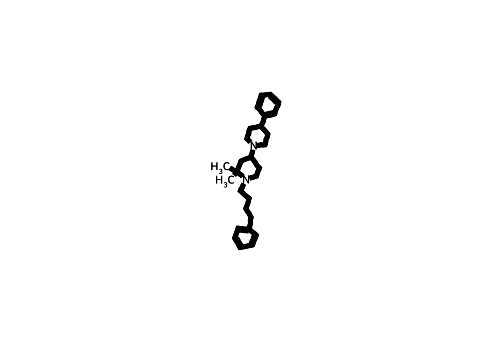 CC1(C)CC(N2CCC(c3ccccc3)CC2)CCN1CCCCc1ccccc1